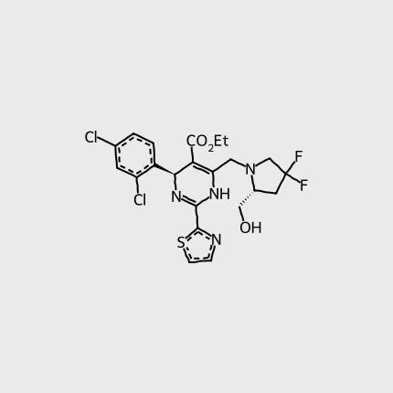 CCOC(=O)C1=C(CN2CC(F)(F)C[C@@H]2CO)NC(c2nccs2)=N[C@H]1c1ccc(Cl)cc1Cl